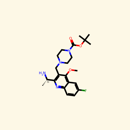 COc1c(CN2CCN(C(=O)OC(C)(C)C)CC2)c([C@H](C)N)nc2ccc(F)cc12